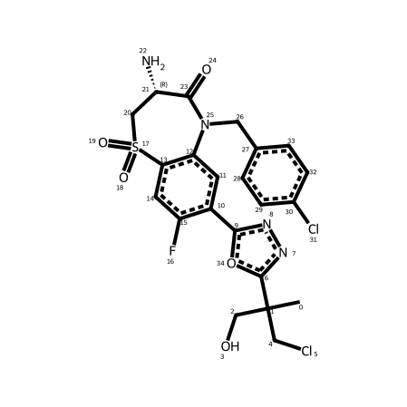 CC(CO)(CCl)c1nnc(-c2cc3c(cc2F)S(=O)(=O)C[C@H](N)C(=O)N3Cc2ccc(Cl)cc2)o1